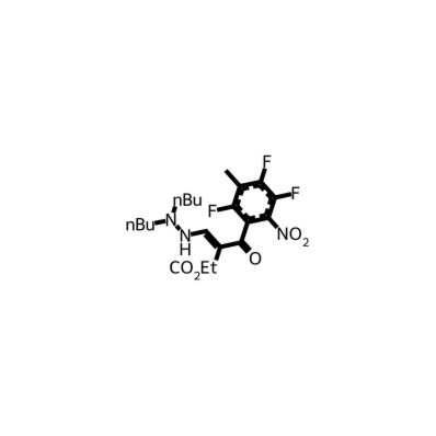 CCCCN(CCCC)NC=C(C(=O)OCC)C(=O)c1c(F)c(C)c(F)c(F)c1[N+](=O)[O-]